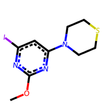 COc1nc(I)cc(N2CCSCC2)n1